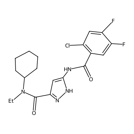 CCN(C(=O)c1cc(NC(=O)c2cc(F)c(F)cc2Cl)[nH]n1)C1CCCCC1